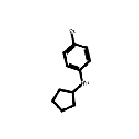 CCc1ccc(NC2CCCC2)cc1